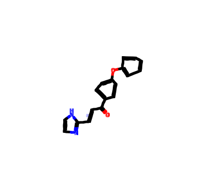 O=C(/C=C/c1ncc[nH]1)c1ccc(Oc2ccccc2)cc1